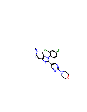 C=N/C=C\c1nc(-c2cnc(N3CCOCC3)nc2)n(-c2ccc(F)cc2Cl)c1C